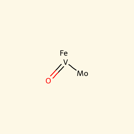 [Fe].[O]=[V][Mo]